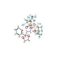 O=S(=O)(N(CCC1(c2ccccc2)OCCO1)S(=O)(=O)C(F)(F)C(F)(F)C(F)(F)F)C(F)(F)C(F)(F)C(F)(F)F